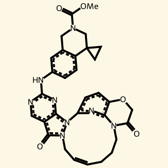 COC(=O)N1Cc2cc(Nc3ncc4c(=O)n5n(c4n3)-c3ccc4c(n3)N(CCC/C=C\C5)C(=O)CO4)ccc2C2(CC2)C1